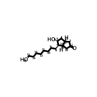 O=C1C[C@H]2C[C@@H](O)[C@H](CCCCCCCCO)[C@H]2C1